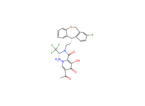 CC(=O)c1cn(N)c(C(=O)N(CC[C@H]2c3ccc(F)cc3CSc3ccccc32)[C@H](C)C(F)(F)F)c(O)c1=O